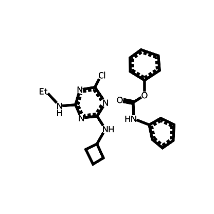 CCNc1nc(Cl)nc(NC2CCC2)n1.O=C(Nc1ccccc1)Oc1ccccc1